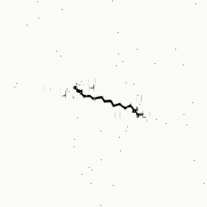 CCOC(=O)C(CC)C(C)(C)CCCCCCCCCCC(C)(C)C(C(=O)OCC)C(=O)OCC